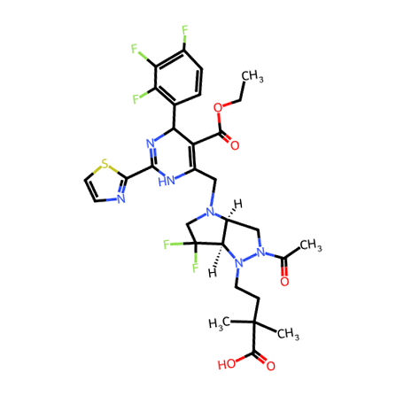 CCOC(=O)C1=C(CN2CC(F)(F)[C@H]3[C@@H]2CN(C(C)=O)N3CCC(C)(C)C(=O)O)NC(c2nccs2)=NC1c1ccc(F)c(F)c1F